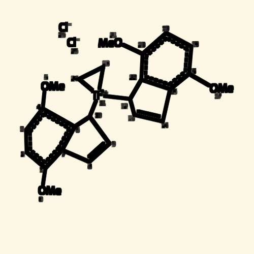 COc1ccc(OC)c2c1C=C[CH]2[Ti+2]1([CH]2C=Cc3c(OC)ccc(OC)c32)[CH2][CH2]1.[Cl-].[Cl-]